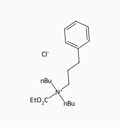 CCCC[N+](CCCC)(CCCc1ccccc1)C(=O)OCC.[Cl-]